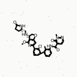 COc1nc(-c2cccc(-c3cccc(NC(=O)c4ccnn(C)c4=O)c3C)c2Cl)cc2c1[C@H](NC[C@@H]1CCC(=O)N1)CO2